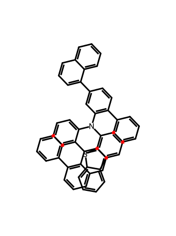 c1ccc(-c2ccc(-c3cccc4ccccc34)cc2N(c2ccccc2-c2cccc3cccc(-c4ccccc4)c23)c2cccc3c2sc2ccccc23)cc1